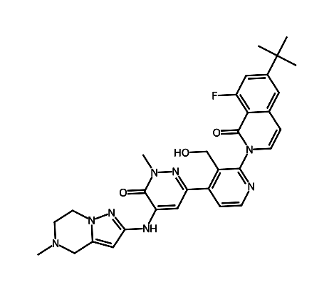 CN1CCn2nc(Nc3cc(-c4ccnc(-n5ccc6cc(C(C)(C)C)cc(F)c6c5=O)c4CO)nn(C)c3=O)cc2C1